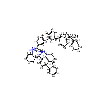 C=C(/N=C1/C=CC=C/C1=C(/N)c1ccc2c3c(cccc13)-c1ccccc1-2)c1ccc2sc3ccc(-c4ccc5c(c4)C(C)(C)C4=C5CCC=C4)cc3c2c1